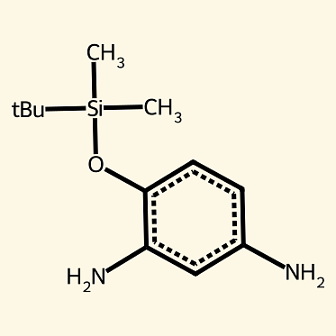 CC(C)(C)[Si](C)(C)Oc1ccc(N)cc1N